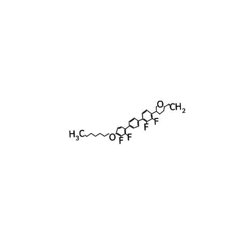 C=CC1CCC(c2ccc(-c3ccc(-c4ccc(OCCCCCCC)c(F)c4F)cc3)c(F)c2F)CO1